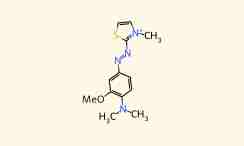 COc1cc(N=Nc2scc[n+]2C)ccc1N(C)C